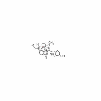 COC12CC[C@@]3(C[C@@H]1CNC(=O)[C@@H](N)Cc1ccc(O)cc1)[C@H]1Cc4ccc(O)c5c4[C@@]3(CCN1CC1CC1)C2O5